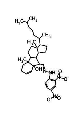 CC(C)CCC[C@@H](C)[C@H]1CCC2C3C(CC[C@@]21C)[C@@]1(C)CCC=C[C@@]1(O)[C@@H]3/C=N/Nc1ccc([N+](=O)[O-])cc1[N+](=O)[O-]